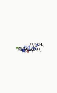 CN(C)CCN(C)c1ccc(CNC(=O)c2cncc3c2cnn3-c2ccc(F)cc2)cn1